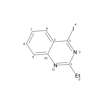 CCc1nc(I)c2ccccc2n1